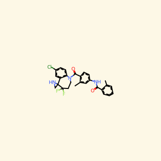 Cc1ccccc1C(=O)Nc1ccc(C(=O)N2CCC(F)(F)C3(CN3)c3cc(Cl)ccc32)c(C)c1